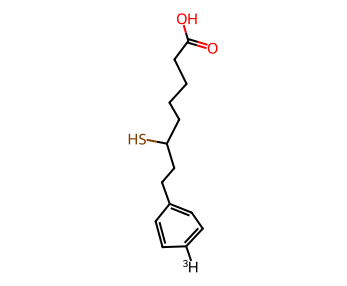 [3H]c1ccc(CCC(S)CCCCC(=O)O)cc1